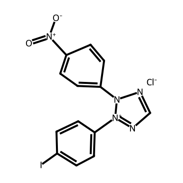 O=[N+]([O-])c1ccc(-n2ncn[n+]2-c2ccc(I)cc2)cc1.[Cl-]